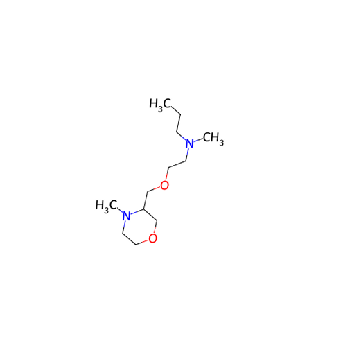 CCCN(C)CCOCC1COCCN1C